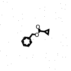 O=C(OCc1[c]cccc1)C1CC1